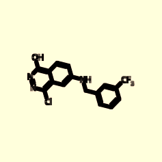 Oc1nnc(Cl)c2cc(NCc3cccc(C(F)(F)F)c3)ccc12